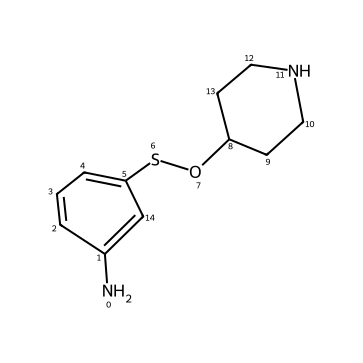 Nc1cccc(SOC2CCNCC2)c1